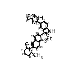 CCOc1c(-c2n[nH]c3ccc(-c4nc(CC(C)C)n[nH]4)cc23)ccc2cc(N3C(C)CCCC3C)ccc12